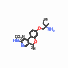 [2H]C1Oc2cc(OCC(C)(N)CC(C)C)ccc2-c2cc(NC(=O)O)ncc21